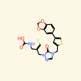 O=C(O)NCC(=CF)Cn1ncn(Cc2cc(-c3ccc4c(c3)OCO4)cs2)c1=O